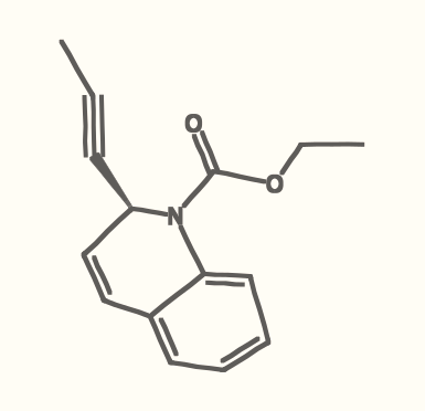 CC#C[C@@H]1C=Cc2ccccc2N1C(=O)OCC